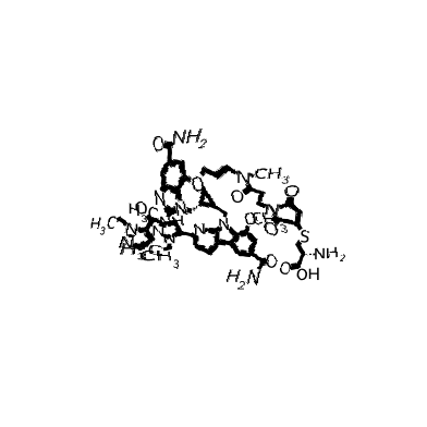 CCn1nc(C)cc1C(=O)Nc1nc2cc(C(N)=O)cc(OCCCN(C)C(=O)CCN3C(=O)CC(SC[C@H](N)C(=O)O)C3=O)c2n1C[C@@H]1C[C@H]1Cn1c2nc(-c3cc(C)nn3CC)ccc2c2cc(C(N)=O)cc(OC)c21